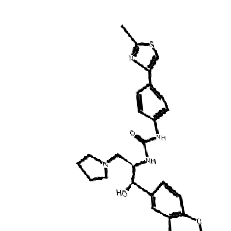 Cc1nc(-c2ccc(NC(=O)N[C@H](CN3CCCC3)[C@H](O)c3ccc4c(c3)OCCO4)cc2)cs1